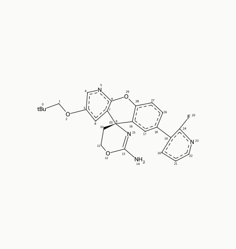 CC(C)(C)COc1cnc2c(c1)[C@]1(CCOC(N)=N1)c1cc(-c3cccnc3F)ccc1O2